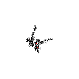 CCCCCCCCCC(O)CC(=O)OC1C(C)C(OP(=O)(O)OP(=O)(O)OCCC)OC(COC2OC(CO)C(OP(=O)(O)O)C(OC(=O)CC(O)CCCCCCCCC)C2C)C1O